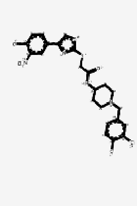 O=C(CSc1nc(-c2ccc(Cl)c([N+](=O)[O-])c2)cs1)NC1CCN(Cc2ccc(Cl)c(Cl)c2)CC1